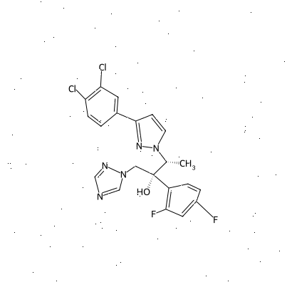 C[C@@H](n1ccc(-c2ccc(Cl)c(Cl)c2)n1)[C@](O)(Cn1cncn1)c1ccc(F)cc1F